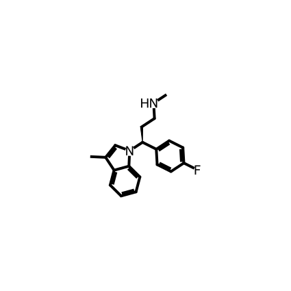 CNCC[C@@H](c1ccc(F)cc1)n1cc(C)c2ccccc21